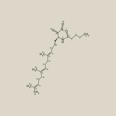 CCCCC(=O)N[C@@H](CSC/C=C(\C)CC/C=C(\C)CCC=C(C)C)C(=O)N=O